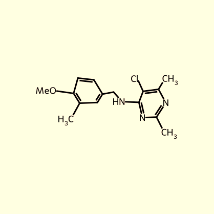 COc1ccc(CNc2nc(C)nc(C)c2Cl)cc1C